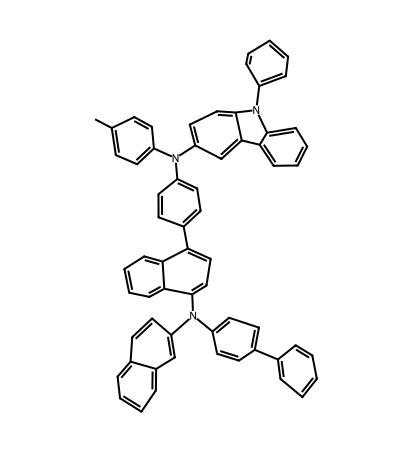 Cc1ccc(N(c2ccc(-c3ccc(N(c4ccc(-c5ccccc5)cc4)c4ccc5ccccc5c4)c4ccccc34)cc2)c2ccc3c(c2)c2ccccc2n3-c2ccccc2)cc1